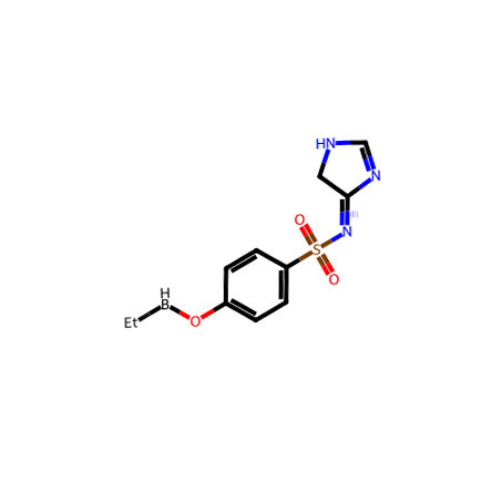 CCBOc1ccc(S(=O)(=O)/N=C2\CNC=N2)cc1